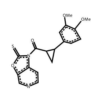 COc1ccc(C2CC2C(=O)n2c(=S)oc3cnccc32)cc1OC